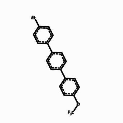 CCc1ccc(-c2ccc(-c3ccc(OC(F)(F)F)cc3)cc2)cc1